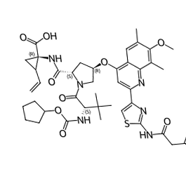 C=CC1C[C@]1(NC(=O)[C@@H]1C[C@@H](Oc2cc(-c3csc(NC(=O)CC(=C)C)n3)nc3c(C)c(OC)c(C)cc23)CN1C(=O)[C@@H](NC(=O)OC1CCCC1)C(C)(C)C)C(=O)O